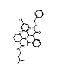 CN(C)CCNC(=O)C1CCCCC1N1C(=O)c2ccccc2C(C(=O)NOCc2ccccn2)C1c1ccc(Cl)cc1Cl